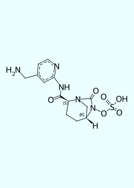 NCc1ccnc(NC(=O)[C@@H]2CC[C@@H]3CN2C(=O)N3OS(=O)(=O)O)c1